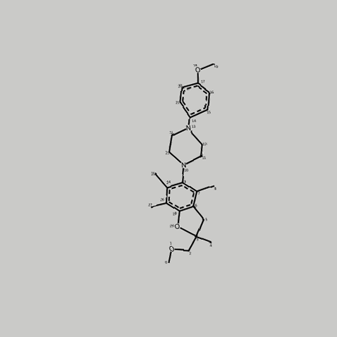 COCC1(C)Cc2c(C)c(N3CCN(c4ccc(OC)cc4)CC3)c(C)c(C)c2O1